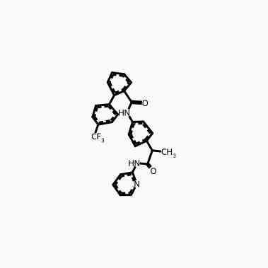 CC(C(=O)Nc1ccccn1)c1ccc(NC(=O)c2ccccc2-c2ccc(C(F)(F)F)cc2)cc1